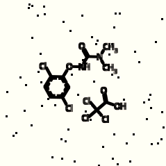 CN(C)C(=O)NOc1cc(Cl)ccc1Cl.O=C(O)C(Cl)(Cl)Cl